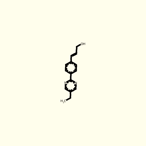 CCc1cnc(-c2ccc(C=CCO)cc2)nc1